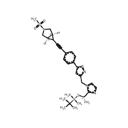 C[C@H](O[Si](C)(C)C(C)(C)C)c1nccn1Cc1cc(-c2ccc(C#CC3[C@H]4CN(S(C)(=O)=O)C[C@@H]34)cc2)on1